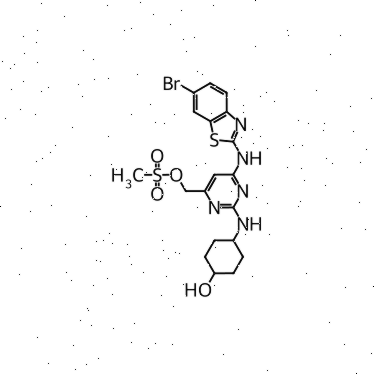 CS(=O)(=O)OCc1cc(Nc2nc3ccc(Br)cc3s2)nc(NC2CCC(O)CC2)n1